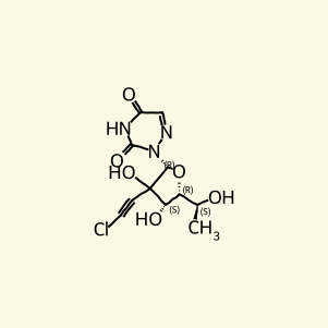 C[C@H](O)[C@H]1O[C@@H](n2ncc(=O)[nH]c2=O)C(O)(C#CCl)[C@H]1O